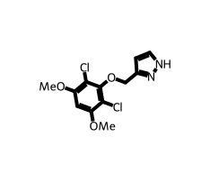 COc1cc(OC)c(Cl)c(OCc2cc[nH]n2)c1Cl